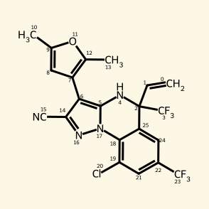 C=CC1(C(F)(F)F)Nc2c(-c3cc(C)oc3C)c(C#N)nn2-c2c(Cl)cc(C(F)(F)F)cc21